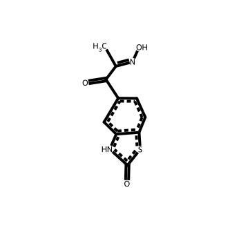 CC(=NO)C(=O)c1ccc2sc(=O)[nH]c2c1